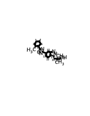 Cc1ccccc1-c1nc(-c2ccc3c(c2)nnn3CC(C)(C)CO)no1